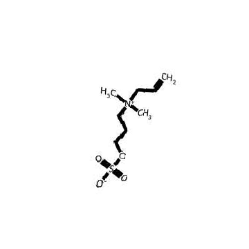 C=CC[N+](C)(C)CCCOS(=O)(=O)[O-]